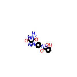 CNC(=O)c1ncn(-c2ccc(NC(=O)c3ccccc3O)cc2)c1C(N)=O